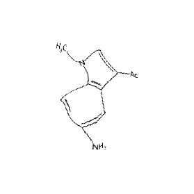 CC(=O)c1cn(C)c2ccc(N)cc12